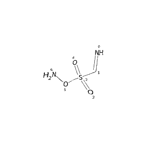 N=CS(=O)(=O)ON